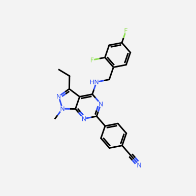 CCc1nn(C)c2nc(-c3ccc(C#N)cc3)nc(NCc3ccc(F)cc3F)c12